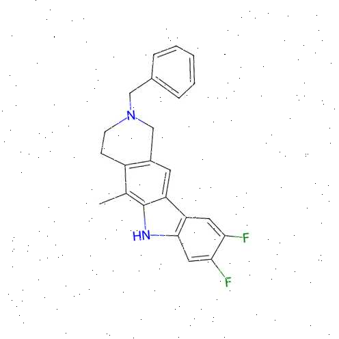 Cc1c2c(cc3c1[nH]c1cc(F)c(F)cc13)CN(Cc1ccccc1)CC2